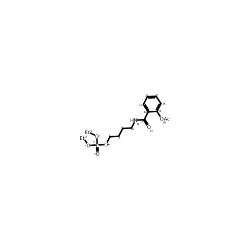 CCOP(=O)(OCC)OCCCCNC(=O)c1ccccc1OC(C)=O